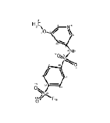 COc1cncc(NS(=O)(=O)c2ccc(S(=O)(=O)F)cc2)c1